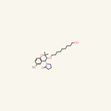 CC1(C)Oc2ccc(C#N)cc2[C@@H](N2CCCC2=O)[C@@H]1OCCCCCCCCCO